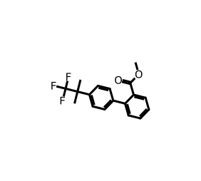 COC(=O)c1ccccc1-c1ccc(C(C)(C)C(F)(F)F)cc1